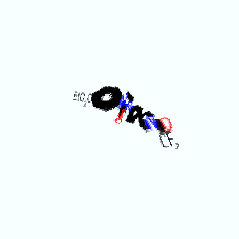 CCOC(=O)c1ccc(N2CCN(c3ccc(C4CCN(C(=O)C(F)(F)F)CC4)cc3)C2=O)cc1